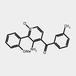 COc1ccccc1-c1c(N)c(C(=O)c2cccc(C)c2)cc[n+]1[O-]